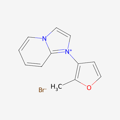 Cc1occc1-[n+]1ccn2ccccc21.[Br-]